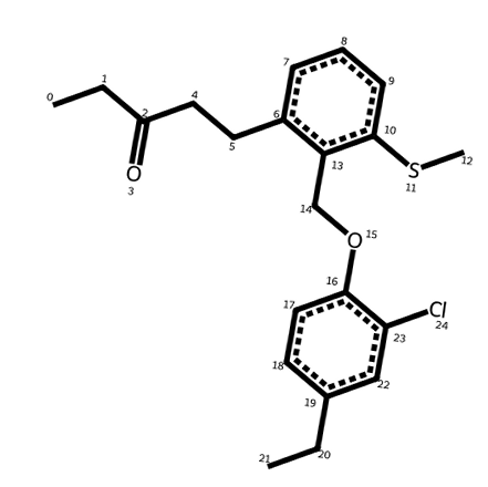 CCC(=O)CCc1cccc(SC)c1COc1ccc(CC)cc1Cl